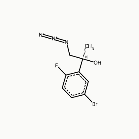 C[C@@](O)(CN=[N+]=[N-])c1cc(Br)ccc1F